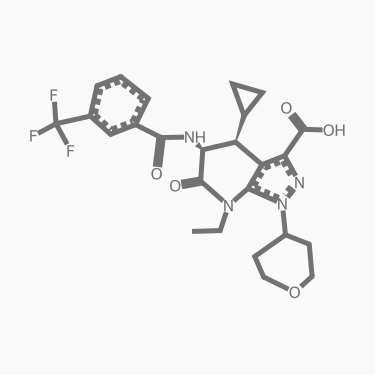 CCN1C(=O)[C@@H](NC(=O)c2cccc(C(F)(F)F)c2)[C@@H](C2CC2)c2c(C(=O)O)nn(C3CCOCC3)c21